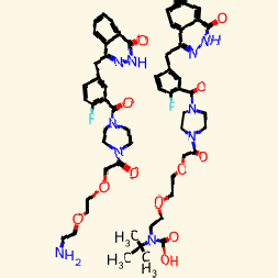 CC(C)(C)N(CCOCCOCC(=O)N1CCN(C(=O)c2cc(Cc3n[nH]c(=O)c4ccccc34)ccc2F)CC1)C(=O)O.NCCOCCOCC(=O)N1CCN(C(=O)c2cc(Cc3n[nH]c(=O)c4ccccc34)ccc2F)CC1